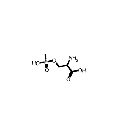 CP(=O)(O)OCC(N)C(=O)O